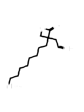 C=CCC1(CCCCCCCCCCCCCCCCCC)COC1=O